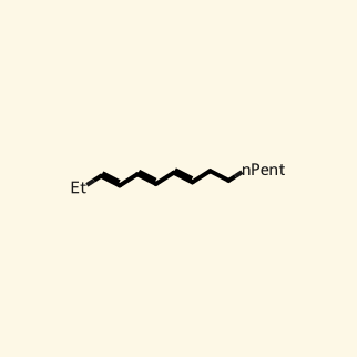 [CH2]CCCCCCC=CC=CC=CCC